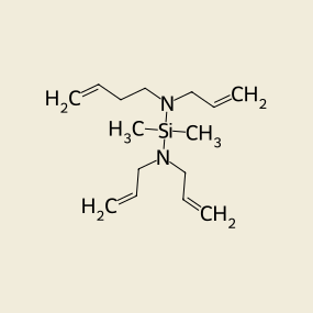 C=CCCN(CC=C)[Si](C)(C)N(CC=C)CC=C